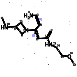 C=C(/C=C(\C=C/N)N1CC(NC)C1)NCCOC